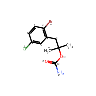 CC(C)(Cc1cc(Cl)ccc1Br)OC(N)=O